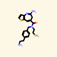 CCCN(Cc1ccc(CCN)cc1)C(=O)C1=Cc2sccc2N=C(N)C1